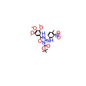 COc1cc(C(=O)N/C(=N/C(=O)OC(C)(C)C)Nc2ccc(C)c([N+](=O)[O-])c2)cc(OC)c1OC